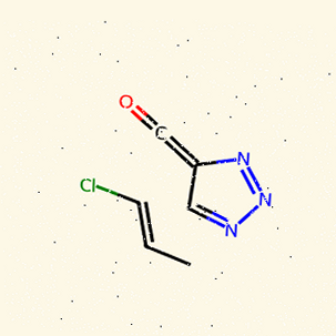 CC=CCl.O=C=C1C=NN=N1